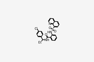 CCC(NC(=O)c1ccccc1NS(=O)(=O)c1cccc2cccnc12)c1ccc(Cl)cc1